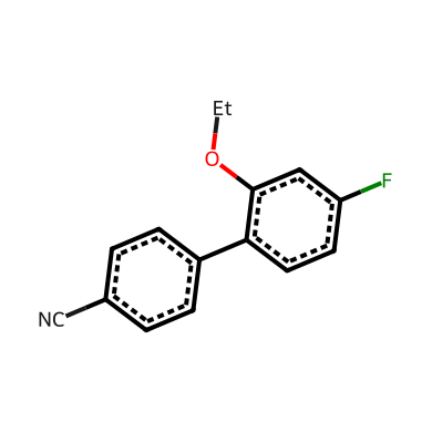 CCOc1cc(F)ccc1-c1ccc(C#N)cc1